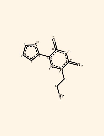 CC(C)CCn1nc(-c2cccs2)c(=O)oc1=O